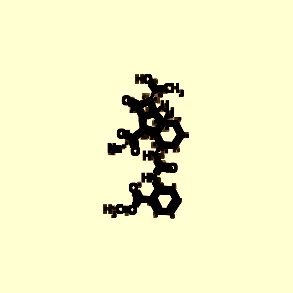 COC(=O)c1ccccc1NC(=O)N[C@H]1CCC[C@H]2C1=C(C(=O)[O-])N1C(=O)[C@H](C(C)O)[C@@H]21.[Na+]